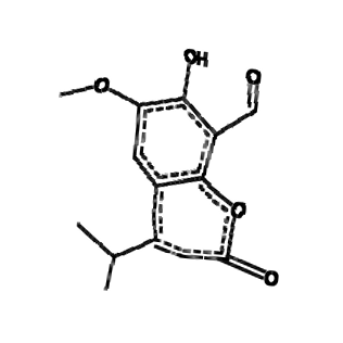 COc1cc2c(C(C)C)cc(=O)oc2c(C=O)c1O